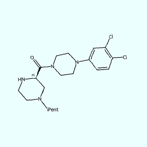 CCCC(C)N1CCN[C@@H](C(=O)N2CCN(c3ccc(Cl)c(Cl)c3)CC2)C1